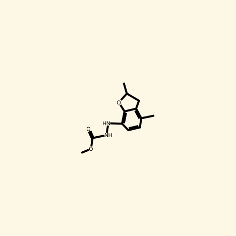 COC(=O)NNc1ccc(C)c2c1OC(C)C2